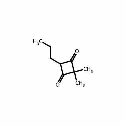 CCCC1C(=O)C(C)(C)C1=O